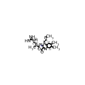 COCCn1/c(=N/C(=O)N(C)CCNC(=N)N)c(C=O)nc2cc(C)c(C)cc21